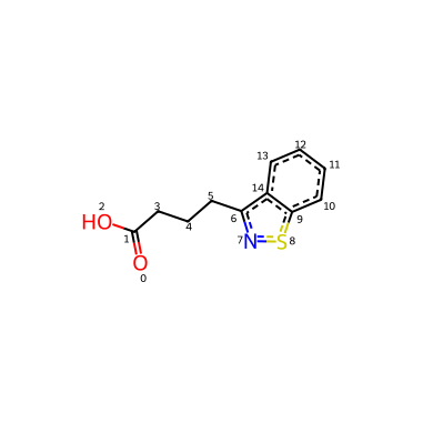 O=C(O)CCCc1nsc2ccccc12